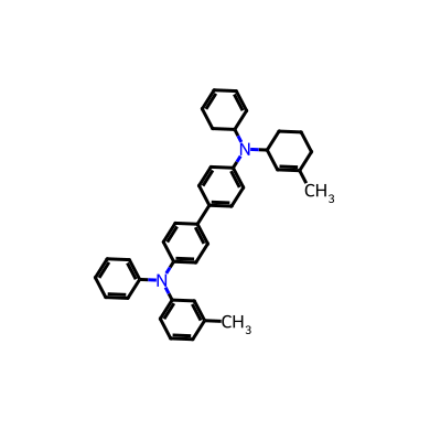 CC1=CC(N(c2ccc(-c3ccc(N(c4ccccc4)c4cccc(C)c4)cc3)cc2)C2C=CC=CC2)CCC1